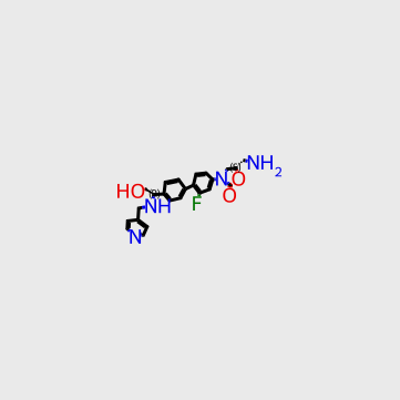 NC[C@H]1CN(c2ccc(-c3ccc([C@H](CO)NCc4ccncc4)cc3)c(F)c2)C(=O)O1